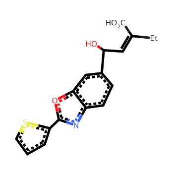 CCC(=CC(O)c1ccc2nc(-c3cccs3)oc2c1)C(=O)O